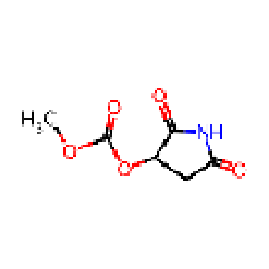 COC(=O)OC1CC(=O)NC1=O